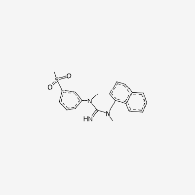 CN(C(=N)N(C)c1cccc2ccccc12)c1cccc(S(C)(=O)=O)c1